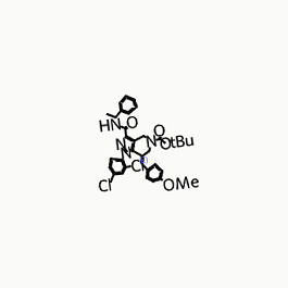 COc1ccc(/C=C2\CN(C(=O)OC(C)(C)C)Cc3c(C(=O)NC(C)c4ccccc4)nn(-c4ccc(Cl)cc4Cl)c32)cc1